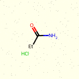 CCC(N)=O.Cl